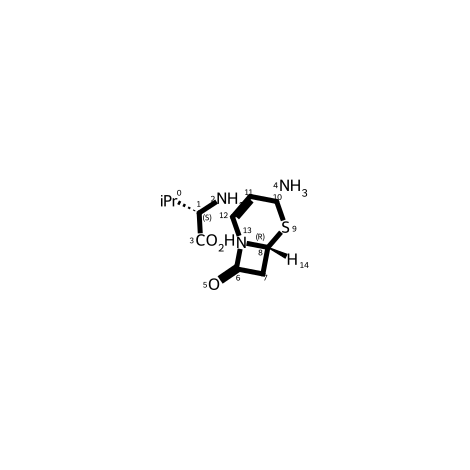 CC(C)[C@H](N)C(=O)O.N.O=C1C[C@H]2SCC=CN12